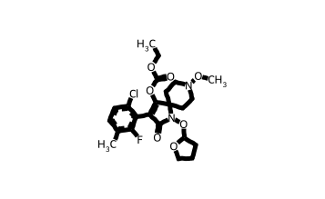 CCOC(=O)OC1=C(c2c(Cl)ccc(C)c2F)C(=O)N(OC2CCCO2)C12CCN(OC)CC2